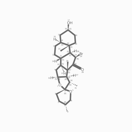 C[C@@H]1CC[C@@]2(OC1)O[C@H]1C[C@H]3[C@@H]4CC[C@H]5C[C@@H](O)CC[C@]5(C)[C@H]4[C@@H](Br)C(=O)[C@]3(C)[C@H]1[C@@H]2C